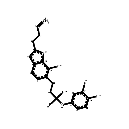 C=CCCc1cc2ccc(CCC(F)(F)Oc3ccc(F)c(F)c3)c(F)c2s1